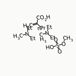 C=C(CCC)C(=O)O.CCN(C)CC.CCN(C)CC.COS(=O)(=O)O